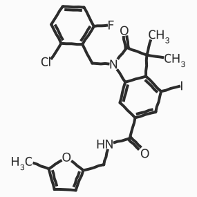 Cc1ccc(CNC(=O)c2cc(I)c3c(c2)N(Cc2c(F)cccc2Cl)C(=O)C3(C)C)o1